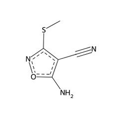 CSc1noc(N)c1C#N